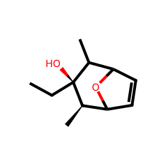 CC[C@]1(O)C(C)C2C=CC(O2)[C@H]1C